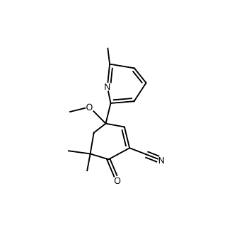 COC1(c2cccc(C)n2)C=C(C#N)C(=O)C(C)(C)C1